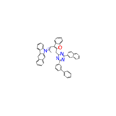 C/C(=C\c1c(Cc2nc(-c3cccc(-c4ccccc4)c3)nc(-c3ccc4ccccc4c3)n2)oc2ccccc12)n1c2ccccc2c2cc3ccccc3cc21